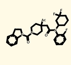 CC(=O)C1(CC(=O)N(c2ccccc2F)C2CCCC(F)(F)C2)CCN(C(=O)N2CCc3ccccc32)CC1